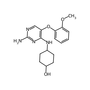 COc1ccccc1Oc1cnc(N)nc1NC1CCC(O)CC1